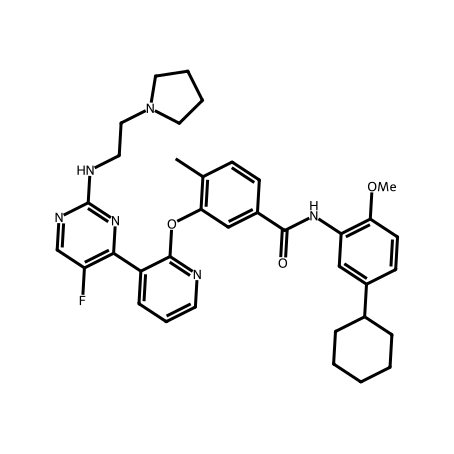 COc1ccc(C2CCCCC2)cc1NC(=O)c1ccc(C)c(Oc2ncccc2-c2nc(NCCN3CCCC3)ncc2F)c1